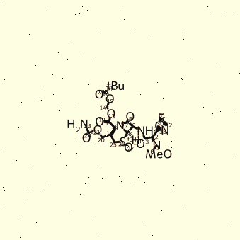 CO/N=C(\C(=O)NC1C(=O)N2C(C(=O)OCOC(=O)C(C)(C)C)=C(COC(N)=O)C[S+]([O-])[C@H]12)c1cscn1